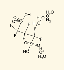 O.O.O.O.O.O.O=S(=O)(O)C(F)(F)C(F)(F)C(F)(F)S(=O)(=O)O